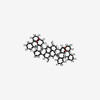 Cc1cc2c3c(cc4c(C)cc5c6c(cc1c3c46)B1c3ccccc3N(c3ccccc3-c3ccccc3)c3cccc-5c31)B1c3ccccc3N(c3ccccc3-c3ccccc3)c3cccc-2c31